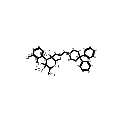 CC1NC(N)C(C)(C(=O)O)C(c2cccc(Cl)c2Cl)C1(CCCN1CCC(c2ccccc2)(c2ccccc2)CC1)C(=O)O